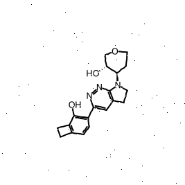 Oc1c(-c2cc3c(nn2)N([C@@H]2CCOC[C@H]2O)CC3)ccc2c1CC2